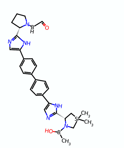 CB(O)N1C[Si](C)(C)C[C@H]1c1ncc(-c2ccc(-c3ccc(-c4cnc([C@@H]5CCCN5BC=O)[nH]4)cc3)cc2)[nH]1